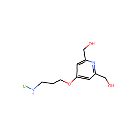 OCc1cc(OCCCNCl)cc(CO)n1